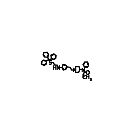 CCC(=O)N(c1ccccc1)C1CCN(CCc2ccc(NCCCSC(c3ccccc3)(c3ccccc3)c3ccccc3)cc2)CC1